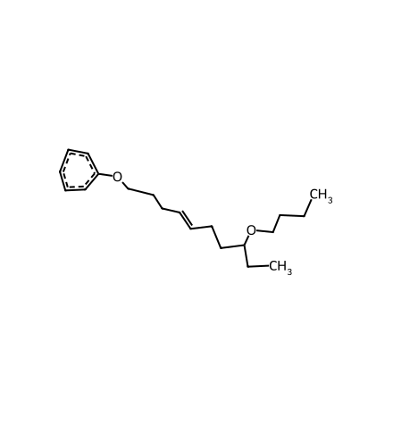 CCCCOC(CC)CC/C=C/CCCOc1ccccc1